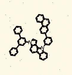 c1ccc(-c2cc(-c3ccccc3)cc(-n3ccc4c3ccc3c5ccccc5n(-c5cccc(-c6ccc7c(ccc8ccccc87)c6)c5)c34)c2)cc1